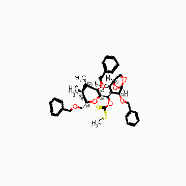 CSC(=S)OC([C@H]1[C@H](C)[C@H]2CO[C@H](O2)[C@H]1OCc1ccccc1)[C@H]1O[C@H](COCc2ccccc2)[C@@H](C)[C@H](C)[C@@H]1OCc1ccccc1